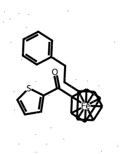 O=C(c1cccs1)[C]12[CH]3[CH]4[CH]5[CH]1[Fe]45321678[CH]2[CH]1[CH]6[C]7(CCc1ccccc1)[CH]28